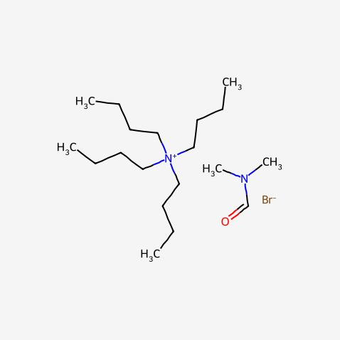 CCCC[N+](CCCC)(CCCC)CCCC.CN(C)C=O.[Br-]